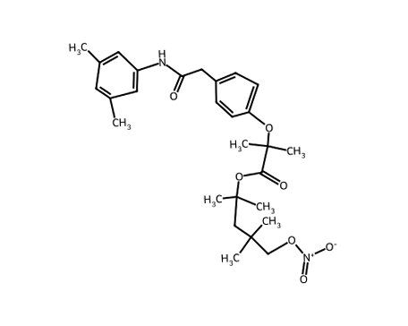 Cc1cc(C)cc(NC(=O)Cc2ccc(OC(C)(C)C(=O)OC(C)(C)CC(C)(C)CO[N+](=O)[O-])cc2)c1